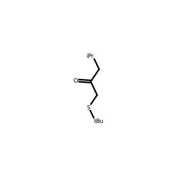 CC(C)CC(=O)CSC(C)(C)C